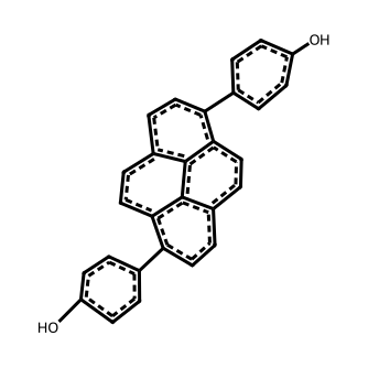 Oc1ccc(-c2ccc3ccc4c(-c5ccc(O)cc5)ccc5ccc2c3c54)cc1